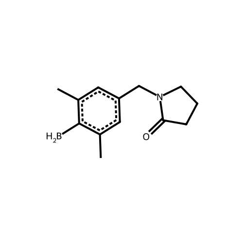 Bc1c(C)cc(CN2CCCC2=O)cc1C